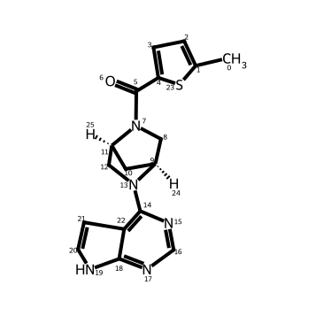 Cc1ccc(C(=O)N2C[C@@H]3C[C@H]2CN3c2ncnc3[nH]ccc23)s1